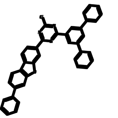 Clc1nc(-c2cc(-c3ccccc3)cc(-c3ccccc3)c2)nc(-c2ccc3c(c2)oc2cc(-c4ccccc4)ccc23)n1